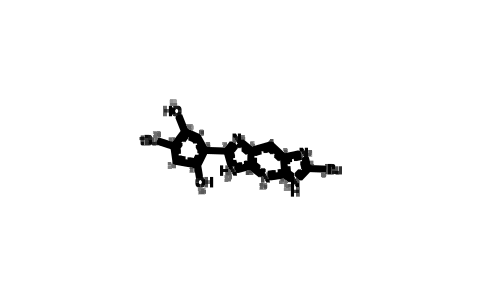 CCC(C)c1nc2cc3nc(-c4cc(O)c(C(C)(C)C)cc4O)[nH]c3nc2[nH]1